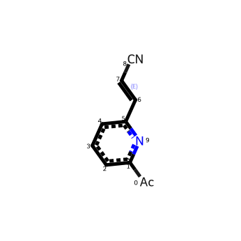 CC(=O)c1cccc(/C=C/C#N)n1